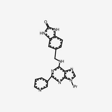 CC(C)n1cnc2c(NCc3ccc4[nH]c(=O)[nH]c4c3)nc(-c3cccnc3)nc21